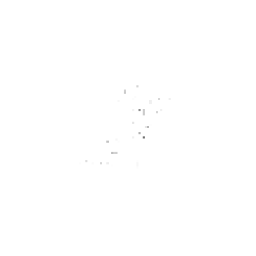 COC(=O)c1ccc(C(C)n2c(=O)n(COC(=O)C(C)(C)C)c(=O)c3c2nc(-c2ccccc2Cl)n3-c2ccc(Cl)cc2)cc1